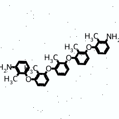 Cc1c(N)cccc1Oc1cccc(Oc2cccc(Oc3cccc(Oc4cccc(N)c4C)c3C)c2C)c1C